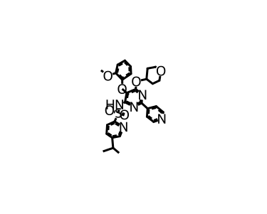 COc1ccccc1Oc1c(NS(=O)(=O)c2ccc(C(C)C)cn2)nc(-c2ccncc2)nc1OC1CCOCC1